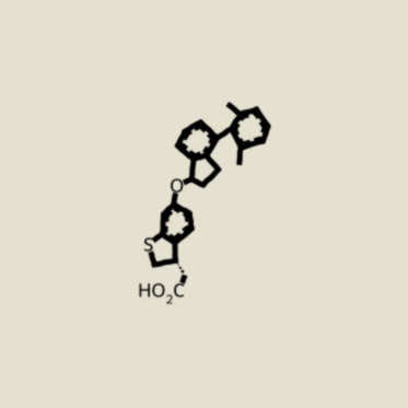 Cc1cccc(C)c1-c1cccc2c1CCC2Oc1ccc2c(c1)SC[C@H]2CC(=O)O